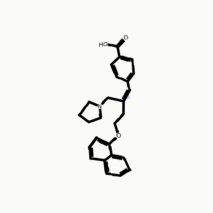 O=C(O)c1ccc(/C=C(/CCOc2cccc3ccccc23)CN2CCCC2)cc1